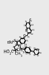 CC(C)(C)Sc1c(CC(C)(C)C(=O)O)n(Cc2ccc(-c3cccnc3)cc2)c2ccc(OCc3ccc4cc(F)ccc4n3)cc12